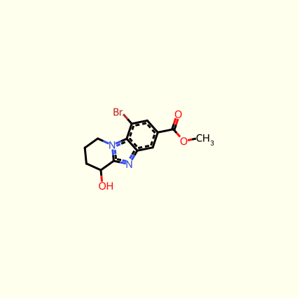 COC(=O)c1cc(Br)c2c(c1)nc1n2CCCC1O